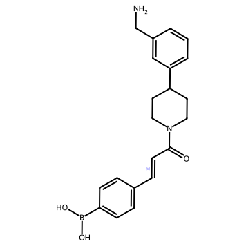 NCc1cccc(C2CCN(C(=O)/C=C/c3ccc(B(O)O)cc3)CC2)c1